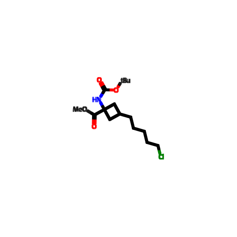 COC(=O)C1(NC(=O)OC(C)(C)C)CC(CCCCCCl)C1